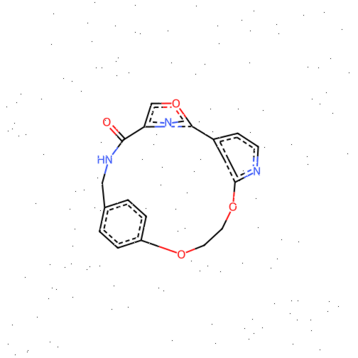 O=C1NCc2ccc(cc2)OCCOc2cc(ccn2)-c2nc1co2